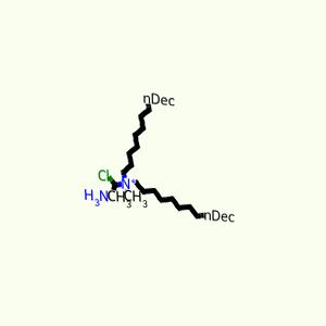 CCCCCCCCCCCCCCCCCC[N+](C)(CCCCCCCCCCCCCCCCCC)C(C)Cl.N